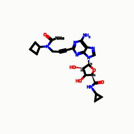 CNC(=O)N(CC#Cc1nc(N)c2ncn([C@@H]3O[C@H](C(=O)NC4CC4)C(O)[C@@H]3O)c2n1)C1CCC1